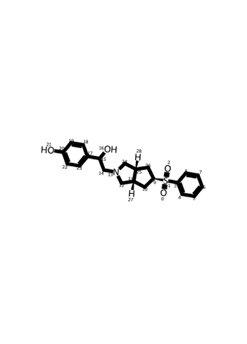 O=S(=O)(c1ccccc1)[C@H]1C[C@@H]2CN(CC(O)c3ccc(O)cc3)C[C@@H]2C1